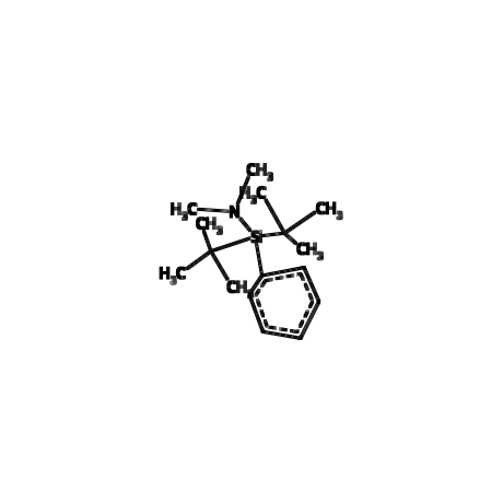 CN(C)[Si](c1ccccc1)(C(C)(C)C)C(C)(C)C